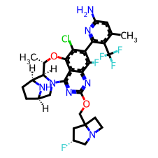 Cc1cc(N)nc(-c2c(Cl)c3c4c(nc(OCC56CCN5C[C@H](F)C6)nc4c2F)N2C[C@H]4CC[C@H](N4)[C@H]2[C@H](C)O3)c1C(F)(F)F